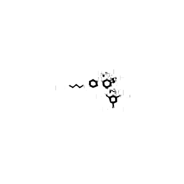 CCCCCCOc1ccc(Nc2ccc(NS(=O)(=O)c3c(C(C)C)cc(C(C)C)cc3C(C)C)c(S(C)(=O)=O)c2S(C)(=O)=O)cc1